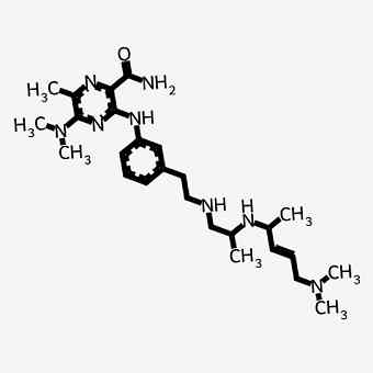 Cc1nc(C(N)=O)c(Nc2cccc(CCNCC(C)NC(C)C=CCN(C)C)c2)nc1N(C)C